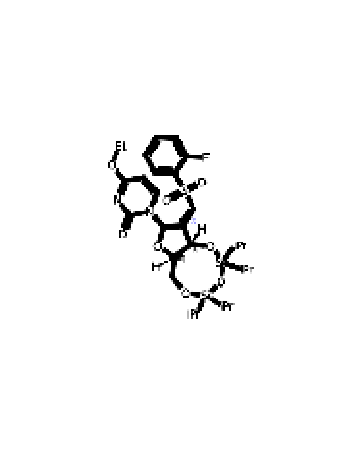 CCOc1ccn(C2O[C@@H]3CO[Si](C(C)C)(C(C)C)O[Si](C(C)C)(C(C)C)O[C@H]3/C2=C/S(=O)(=O)c2ccccc2F)c(=O)n1